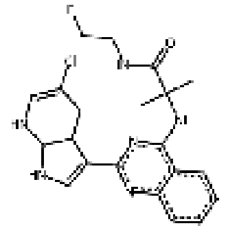 CC(C)(Nc1nc(C2=CNC3NC=C(Cl)CC23)nc2ccccc12)C(=O)NCCF